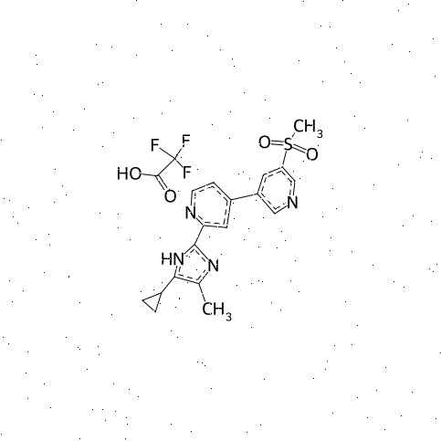 Cc1nc(-c2cc(-c3cncc(S(C)(=O)=O)c3)ccn2)[nH]c1C1CC1.O=C(O)C(F)(F)F